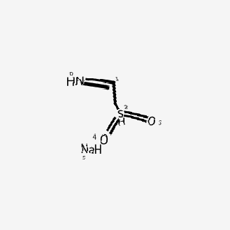 N=C[SH](=O)=O.[NaH]